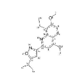 COc1ccc2c(OC)cc(-c3cc(C(C)C)on3)nc2c1CI